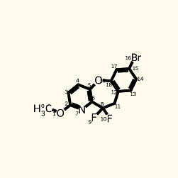 COc1ccc2c(n1)C(F)(F)Cc1ccc(Br)cc1O2